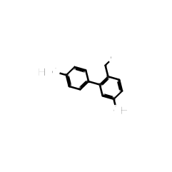 Cc1ccc(-c2cc(C)ccc2CCl)cc1